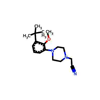 COc1c(N2CCN(CC#N)CC2)cccc1C(C)(C)C